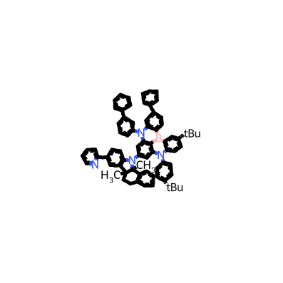 CC(C)(C)c1ccc(N2c3ccc(C(C)(C)C)cc3B3c4ccc(-c5ccccc5)cc4N(c4cccc(-c5ccccc5)c4)c4cc(N5c6ccc(-c7ccccn7)cc6C6(C)CCc7ccccc7C56C)cc2c43)cc1